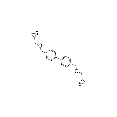 c1cc(-c2ccc(COCC3CS3)cc2)ccc1COCC1CS1